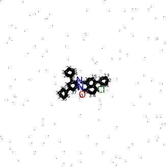 O=c1c2ccc(Cl)c3c(-c4ccccc4)ccc(c32)c2nc3c(-c4ccccc4)cc(-c4ccccc4)cc3n12